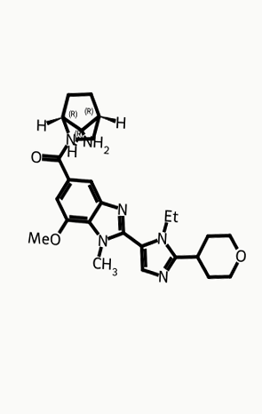 CCn1c(-c2nc3cc(C(=O)N4C[C@H]5CC[C@@H]4[C@@H]5N)cc(OC)c3n2C)cnc1C1CCOCC1